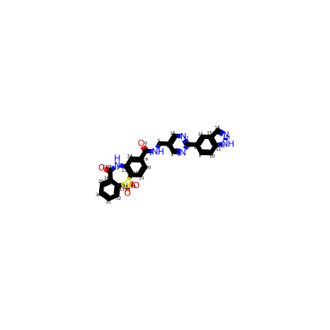 O=C(NCc1cnc(-c2ccc3[nH]ncc3c2)nc1)c1ccc2c(c1)NC(=O)c1ccccc1S2(=O)=O